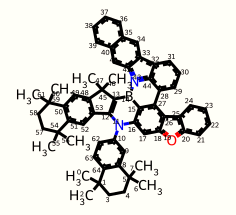 CC1(C)CCC(C)(C)c2cc(N3C4=C(B5c6c3cc3oc7ccccc7c3c6-c3cccc6c7cc8ccccc8cc7n5c36)C(C)(C)c3cc5c(cc34)C(C)(C)CCC5(C)C)ccc21